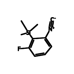 [C-]#[N+]c1cccc(F)c1[Si](C)(C)C